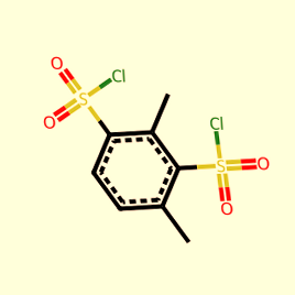 Cc1ccc(S(=O)(=O)Cl)c(C)c1S(=O)(=O)Cl